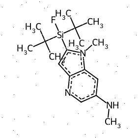 CNc1cnc2cc([Si](F)(C(C)(C)C)C(C)(C)C)n(C)c2c1